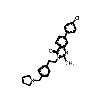 Cc1nc2cc(-c3ccc(Cl)cc3)ccc2c(=O)n1CCc1ccc(CN2CCCC2)cc1